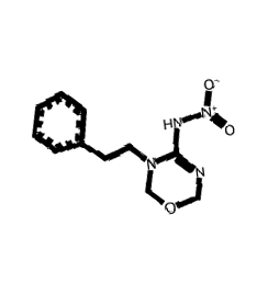 O=[N+]([O-])NC1=NCOCN1CCc1ccccc1